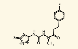 CN(NC(=O)Nc1n[nH]c(=S)s1)C(=O)CCc1ccc(F)cc1